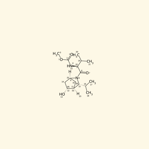 COC(=O)N[C@H](C(=O)N1[C@H]2C[C@H]([C@H](O)C2)[C@H]1C(C)C)C(C)C